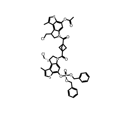 CC(=O)Oc1cc2c(c3c(C)csc13)C(CCl)CN2C(=O)C12CC(C(=O)N3C[C@@H](CCl)c4c3cc(OP(=O)(OCc3ccccc3)OCc3ccccc3)c3scc(C)c43)(C1)C2